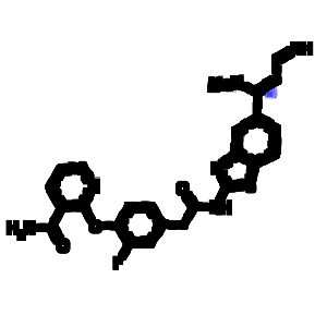 CN/C(=C\C=N)c1ccc2sc(NC(=O)Cc3ccc(Oc4ncccc4C(N)=O)c(F)c3)nc2c1